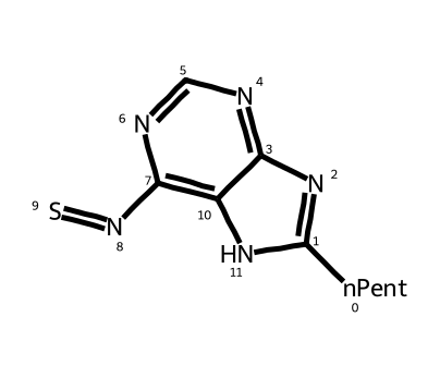 CCCCCc1nc2ncnc(N=S)c2[nH]1